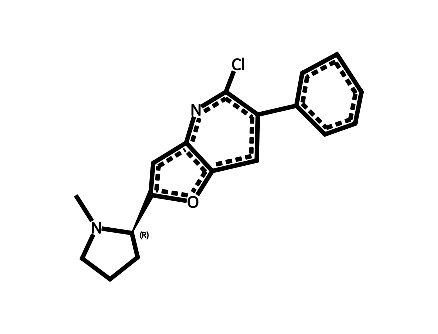 CN1CCC[C@@H]1c1cc2nc(Cl)c(-c3ccccc3)cc2o1